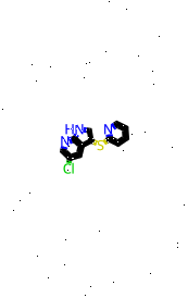 Clc1cnc2c(c1)C(Sc1ccccn1)CN2